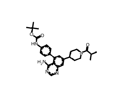 CC(C)C(=O)N1CCC(c2cc(-c3ccc(NC(=O)OC(C)(C)C)cc3)c3c(N)ncnc3c2)CC1